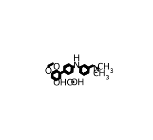 CN(C)Cc1cccc(Nc2ccc(-c3cccc4c3OCCO4)cc2)c1.O=CO